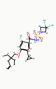 C=CCC(CC)(CC)COc1cc(F)c(C(=O)NS(=O)(=O)N2CC(F)(F)C2)cc1C1CC1